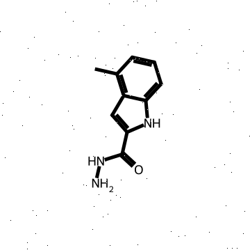 Cc1cccc2[nH]c(C(=O)NN)cc12